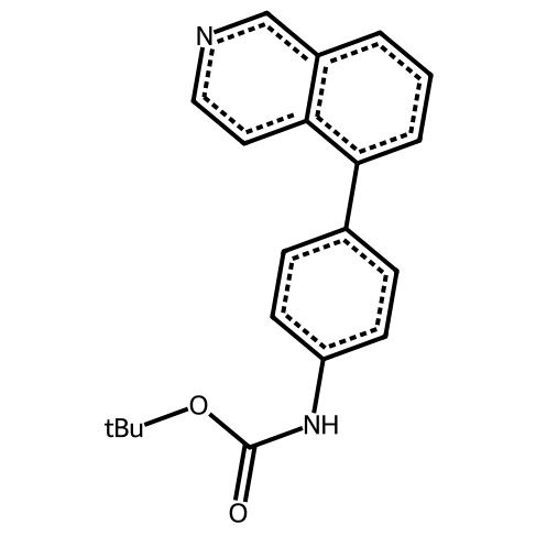 CC(C)(C)OC(=O)Nc1ccc(-c2cccc3cnccc23)cc1